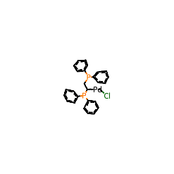 Cl[CH2][Pd][CH](CP(c1ccccc1)c1ccccc1)P(c1ccccc1)c1ccccc1